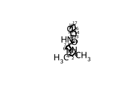 Cc1cc(C)n2ccc(C(=O)NC3CCC4(CCCO4)C3)c2n1